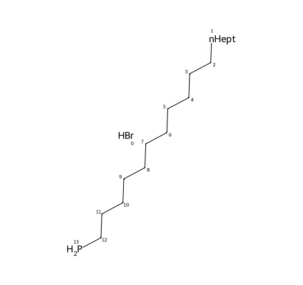 Br.CCCCCCCCCCCCCCCCCCP